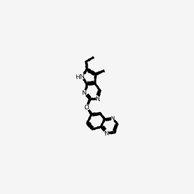 CCc1[nH]c2nc(Oc3ccc4nccnc4c3)ncc2c1C